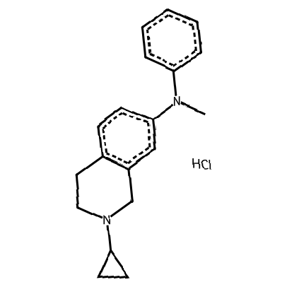 CN(c1ccccc1)c1ccc2c(c1)CN(C1CC1)CC2.Cl